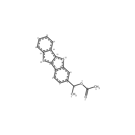 CC(=O)OC(C)c1ccc2c(c1)sc1c3ccccc3sc21